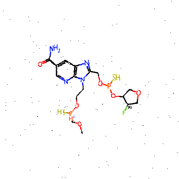 CO/C=[PH](/S)OCCn1c(COP(S)OC2COC[C@H]2F)nc2cc(C(N)=O)cnc21